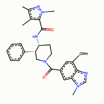 COc1cc(C(=O)N2CC[C@@H](NC(=O)c3c(C)c(C)nn3C)[C@@H](c3ccccc3)C2)cc2c1ncn2C